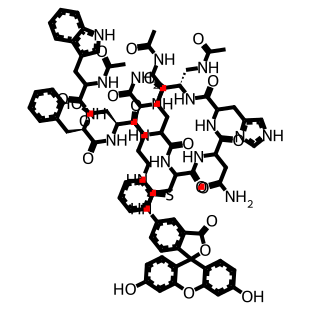 CC(=O)NCCCCC(NC(=O)[C@H](CC(=O)O)NC(=O)[C@@H](Cc1ccccc1)NC(=O)C(Cc1c[nH]c2ccccc12)NC(C)=O)C(=O)NC(Cc1ccccc1)C(=O)NC(CC(N)=O)C(=O)NC(Cc1c[nH]cn1)C(=O)N[C@@H](CNC(C)=O)C(=O)N[C@@H](CCCCNC(=S)Nc1ccc2c(c1)C(=O)OC21c2ccc(O)cc2Oc2cc(O)ccc21)C(N)=O